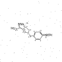 CNC(C(=O)O)[C@@H]1OC(Sc2ccc(NC(C)=O)cc2)C[C@H]1C